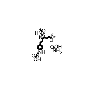 CC(=O)Nc1nc(CCc2ccc(NC=NC(=O)O)cc2)c(CCC(=O)N(C)C)s1.NC(=O)O